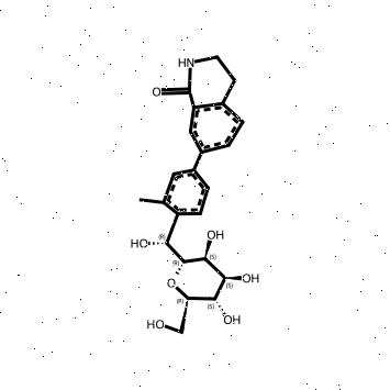 Cc1cc(-c2ccc3c(c2)C(=O)NCC3)ccc1[C@@H](O)[C@H]1O[C@H](CO)[C@@H](O)[C@H](O)[C@@H]1O